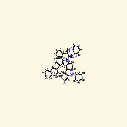 c1ccc(-c2nc3ccccc3nc2-n2c3cccc4c5cc6ccccc6cc5c5cccc6c5c5c(c43)c2ccc5n6-c2ccccc2)cc1